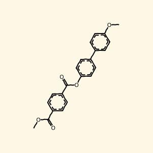 COC(=O)c1ccc(C(=O)Oc2ccc(-c3ccc(OC)cc3)cc2)cc1